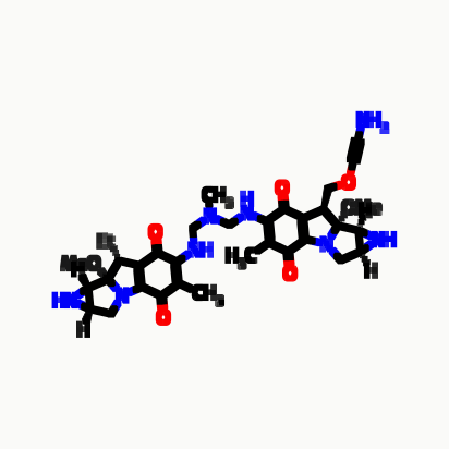 CC[C@@H]1C2=C(C(=O)C(C)=C(NCN(C)CNC3=C(C)C(=O)C4=C(C3=O)[C@@H](COC#CN)[C@@]3(OC)[C@H]5N[C@H]5CN43)C2=O)N2C[C@@H]3N[C@@H]3[C@]12OC